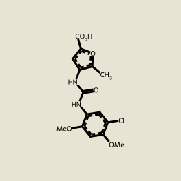 COc1cc(OC)c(NC(=O)Nc2cc(C(=O)O)oc2C)cc1Cl